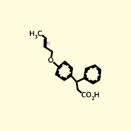 C/C=C/COc1ccc(C(CC(=O)O)c2ccccc2)cc1